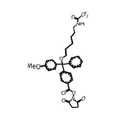 COc1ccc(C(OCCCCCCNC(=O)C(F)(F)F)(c2ccccc2)c2ccc(C(=O)ON3C(=O)CCC3=O)cc2)cc1